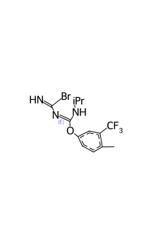 Cc1ccc(O/C(=N/C(=N)Br)NC(C)C)cc1C(F)(F)F